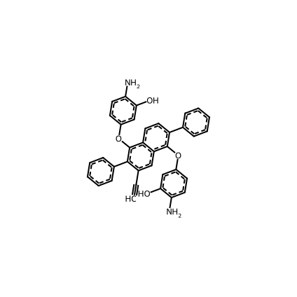 C#Cc1cc2c(Oc3ccc(N)c(O)c3)c(-c3ccccc3)ccc2c(Oc2ccc(N)c(O)c2)c1-c1ccccc1